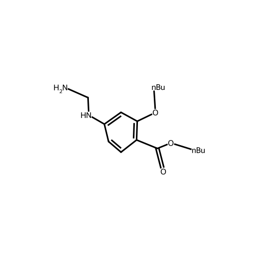 CCCCOC(=O)c1ccc(NCN)cc1OCCCC